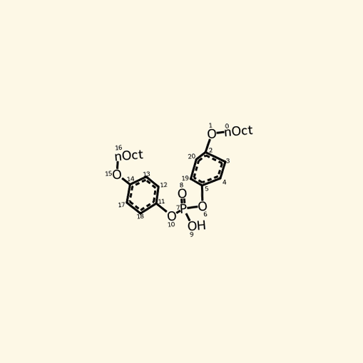 CCCCCCCCOc1ccc(OP(=O)(O)Oc2ccc(OCCCCCCCC)cc2)cc1